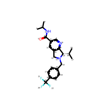 CC(C)NC(=O)c1cnc2c(c1)CN(Cc1ccc(C(F)(F)F)cc1)[C@H]2C(C)C